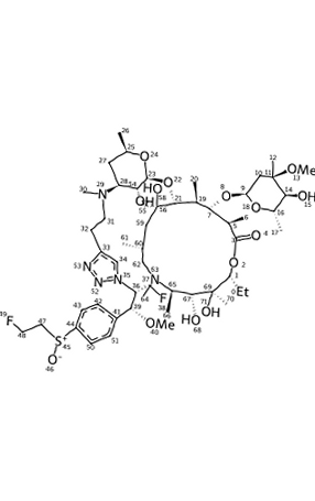 CC[C@H]1OC(=O)[C@H](C)[C@@H](O[C@H]2C[C@@](C)(OC)[C@@H](O)[C@H](C)O2)[C@H](C)[C@@H](O[C@@H]2O[C@H](C)C[C@H](N(C)CCc3cn([C@H](CF)[C@H](OC)c4ccc([S+]([O-])CCF)cc4)nn3)[C@H]2O)[C@](C)(O)C[C@@H](C)CN(C)[C@H](C)[C@@H](O)[C@]1(C)O